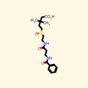 CC(C)(CC[S+]([O-])CCNC(=O)CCNC(=O)c1ccccc1)CC(=O)O